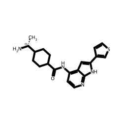 C[C@@H](N)C1CCC(C(=O)Nc2ccnc3[nH]c(-c4ccsc4)cc23)CC1